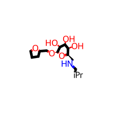 CC(C)CNC[C@H]1O[C@H](OCC2CCCO2)[C@@H](O)[C@@H](O)[C@H]1O